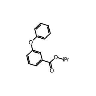 CC(C)OC(=O)c1cccc(Oc2ccccc2)c1